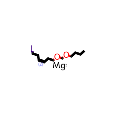 CCCCOCOCC/C=C\CCI.[Mg]